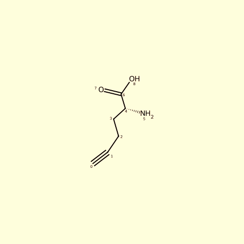 C#CCC[C@@H](N)C(=O)O